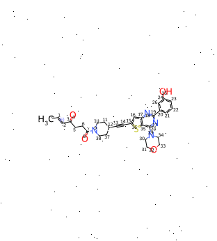 C/C=C/C(=O)CCC(=O)N1CCC(C#Cc2cc3nc(-c4cccc(O)c4)nc(N4CCOCC4)c3s2)CC1